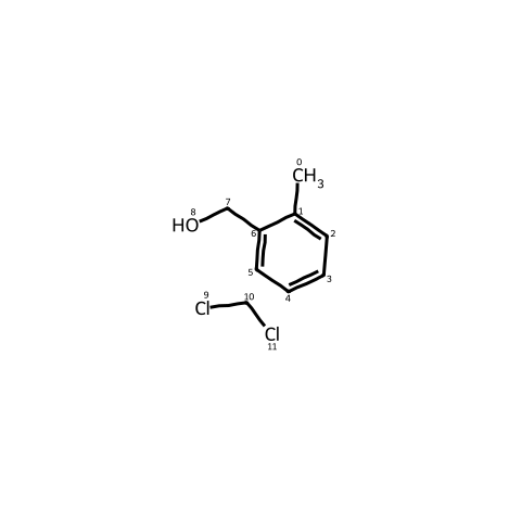 Cc1ccccc1CO.ClCCl